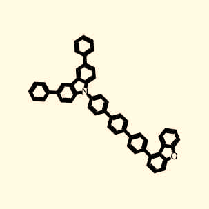 c1ccc(-c2ccc3c(c2)c2cc(-c4ccccc4)ccc2n3-c2ccc(-c3ccc(-c4ccc(-c5cccc6oc7ccccc7c56)cc4)cc3)cc2)cc1